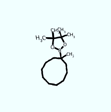 CC1(B2OC(C)(C)C(C)(C)O2)CCCCCCCCC1